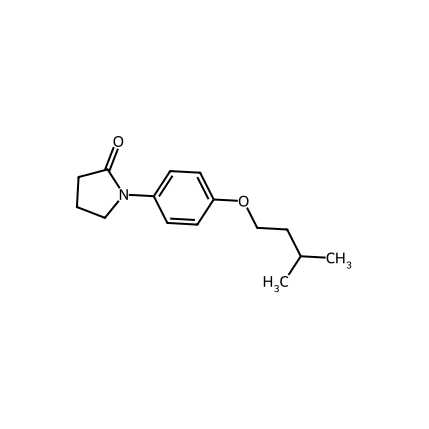 CC(C)CCOc1ccc(N2CCCC2=O)cc1